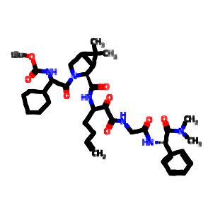 C=CCCC(NC(=O)[C@@H]1C2C(CN1C(=O)C(NC(=O)OC(C)(C)C)C1CCCCC1)C2(C)C)C(=O)C(=O)NCC(=O)N[C@H](C(=O)N(C)C)c1ccccc1